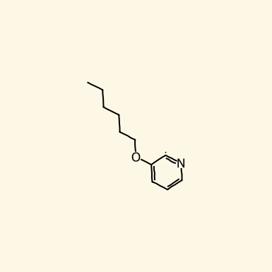 CCCCCCOc1[c]nccc1